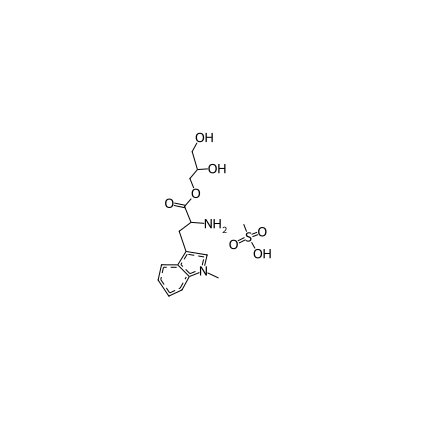 CS(=O)(=O)O.Cn1cc(CC(N)C(=O)OCC(O)CO)c2ccccc21